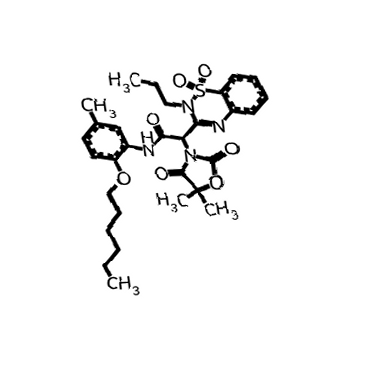 CCCCCCOc1ccc(C)cc1NC(=O)C(C1=Nc2ccccc2S(=O)(=O)N1CCC)N1C(=O)OC(C)(C)C1=O